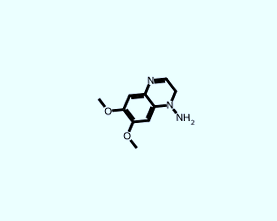 COc1cc2c(cc1OC)N(N)CC=N2